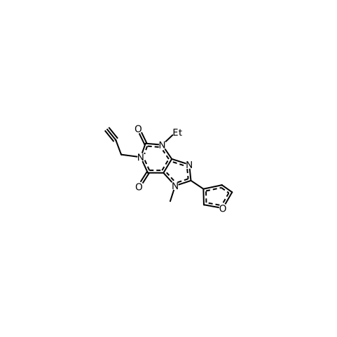 C#CCn1c(=O)c2c(nc(-c3ccoc3)n2C)n(CC)c1=O